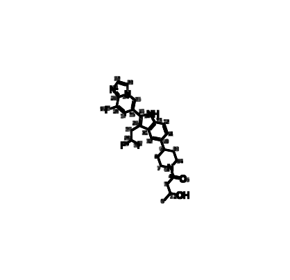 CC(O)CC(=O)N1CCC(c2ccc3[nH]c(-c4cc(F)c5nccn5c4)c(CC(F)F)c3c2)CC1